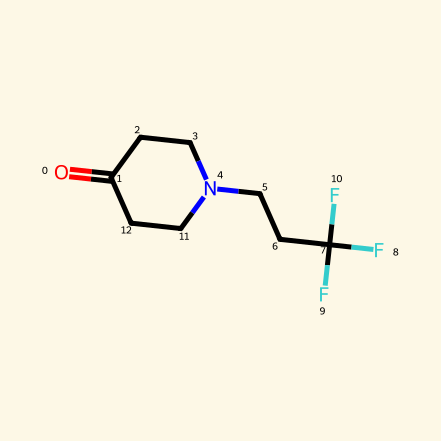 O=C1CCN(CCC(F)(F)F)CC1